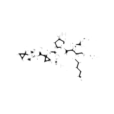 C=CCCCC[C@@H](COC)[C@H](NC(=O)OC(C)(C)C)C(=O)N1C[C@H](O)C[C@H]1C(=O)N[C@]1(C(=O)NS(=O)(=O)C2(C)CC2)C[C@H]1C=C